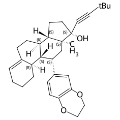 CC(C)(C)C#C[C@]1(O)CC[C@H]2[C@@H]3CCC4=CCCC[C@@H]4[C@H]3[C@@H](c3ccc4c(c3)OCCO4)C[C@@]21C